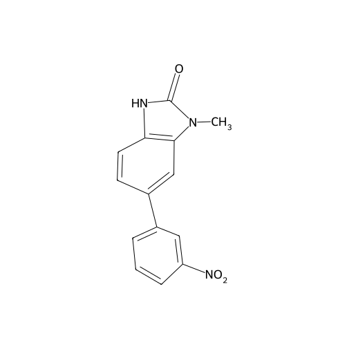 Cn1c(=O)[nH]c2ccc(-c3cccc([N+](=O)[O-])c3)cc21